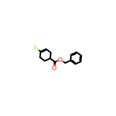 O=C(OCc1ccccc1)C1CC=C(F)CC1